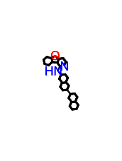 c1ccc2cc(-c3ccc4cc(Nc5nccc6oc7ccccc7c56)ccc4c3)ccc2c1